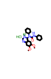 COc1cc2c(cc1OC)=C(N(C(=O)Nc1ccccc1)c1ccccc1)N(Cl)CN=2.Cl